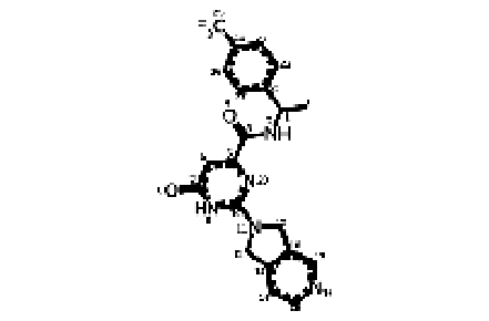 CC(NC(=O)c1cc(=O)[nH]c(N2Cc3ccncc3C2)n1)c1ccc(C(F)(F)F)cc1